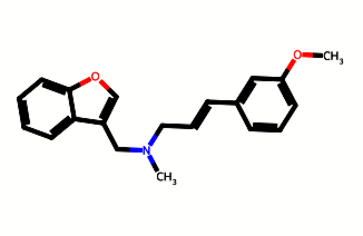 COc1cccc(/C=C/CN(C)Cc2coc3ccccc23)c1